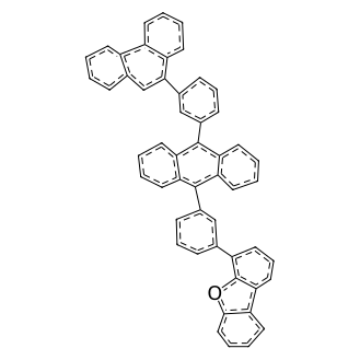 c1cc(-c2c3ccccc3c(-c3cccc(-c4cccc5c4oc4ccccc45)c3)c3ccccc23)cc(-c2cc3ccccc3c3ccccc23)c1